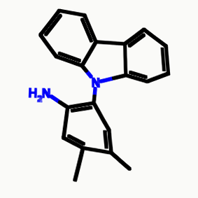 Cc1cc(N)c(-n2c3ccccc3c3ccccc32)cc1C